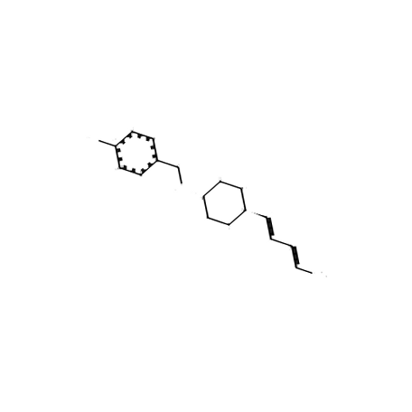 N#CC=CC=C[C@H]1CC[C@H](OCc2ccc(F)cc2)CC1